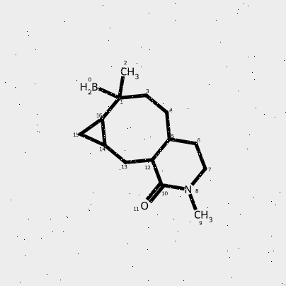 BC1(C)CCC2CCN(C)C(=O)C2CC2CC21